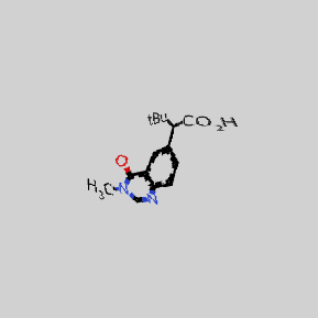 Cn1cnc2ccc(C(C(=O)O)C(C)(C)C)cc2c1=O